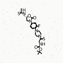 CC(=S)NC[C@H]1CN(c2ccc(N3CCN(C(=S)CNC(=O)OC(C)(C)C)CC3)c(F)c2)C(=O)O1